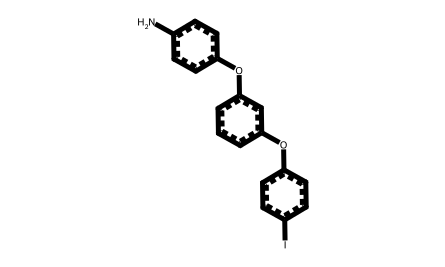 Nc1ccc(Oc2cccc(Oc3ccc(I)cc3)c2)cc1